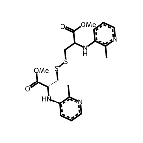 COC(=O)C(CSSC[C@H](Nc1cccnc1C)C(=O)OC)Nc1cccnc1C